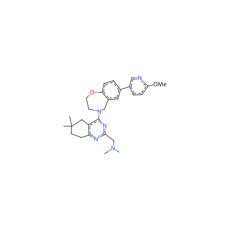 COc1ccc(-c2ccc3c(c2)CN(c2nc(CN(C)C)nc4c2CC(C)(C)CC4)CCO3)cn1